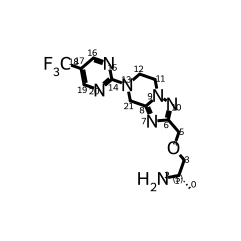 C[C@H](N)COCc1nc2n(n1)CCN(c1ncc(C(F)(F)F)cn1)C2